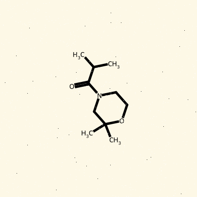 CC(C)C(=O)N1CCOC(C)(C)C1